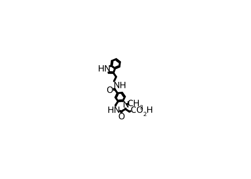 CN1c2ccc(C(=O)NCCc3c[nH]c4ccccc34)cc2CNC(=O)C1CC(=O)O